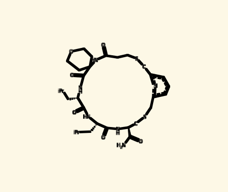 CC(C)C[C@@H]1NC(=O)[C@H](CC(C)C)NC(=O)C2(CCOCC2)NC(=O)CCSCc2cccc(n2)CSC[C@@H](C(N)=O)NC1=O